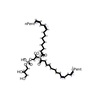 CCCCC/C=C\C/C=C\CCCCCCCC(=O)N(C(=O)CCCCCCC/C=C\C/C=C\CCCCC)C(COP(=O)(O)OCC(O)CO)C(=O)O